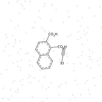 C#CCC.O=C(O)c1ccc2ccccc2c1C(=O)O